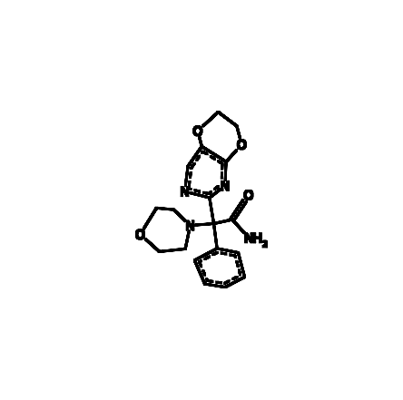 NC(=O)C(c1ccccc1)(c1ncc2c(n1)OCCO2)N1CCOCC1